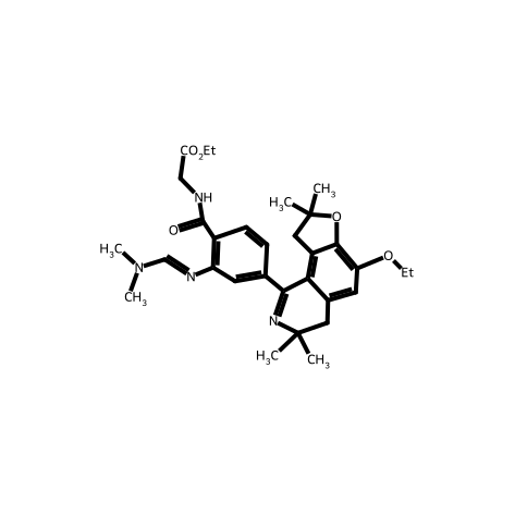 CCOC(=O)CNC(=O)c1ccc(C2=NC(C)(C)Cc3cc(OCC)c4c(c32)CC(C)(C)O4)cc1/N=C/N(C)C